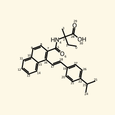 CCC(C)(NC(=O)c1ccc2ccccc2c1/C=C/c1ccc(C(C)C)cc1)C(=O)O